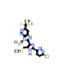 CCSCc1[nH]c(-c2ccc(Cl)nn2)nc1-c1nc2cc(C(F)(F)C(F)(F)F)nnc2n1C